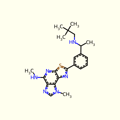 CNc1nc2sc(-c3cccc(C(C)NCC(C)(C)C)c3)nc2c2c1ncn2C